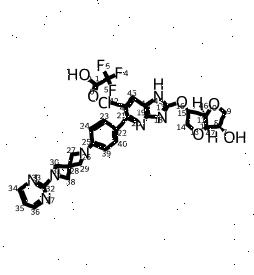 O=C(O)C(F)(F)F.O[C@@H]1CO[C@H]2[C@@H]1OC[C@H]2Oc1nc2nc(-c3ccc(N4CC5(C4)CN(c4ncccn4)C5)cc3)c(Cl)cc2[nH]1